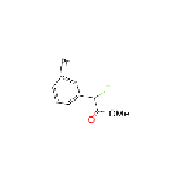 COC(=O)C(F)c1cccc(C(C)C)c1